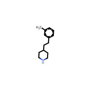 Cc1cccc([CH]CC2CCNCC2)c1